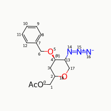 CC(=O)OCC1C[C@@H](OCc2ccccc2)C(N=[N+]=[N-])CO1